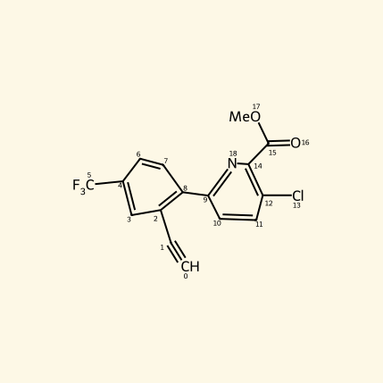 C#Cc1cc(C(F)(F)F)ccc1-c1ccc(Cl)c(C(=O)OC)n1